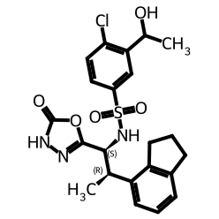 CC(O)c1cc(S(=O)(=O)N[C@H](c2n[nH]c(=O)o2)[C@H](C)c2cccc3c2CCC3)ccc1Cl